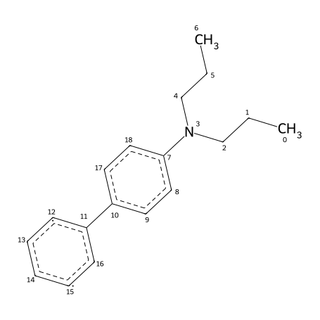 CCCN(CCC)c1ccc(-c2[c]cc[c]c2)cc1